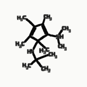 CC1=C(C)C(C)(NC(C)(C)C)C([SiH](C)C)=C1C